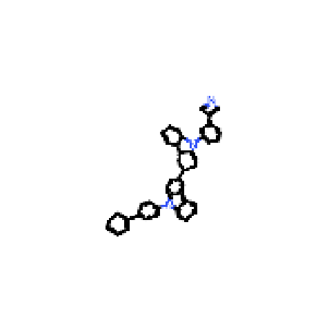 C1=CCCC(c2ccc(-n3c4ccccc4c4cc(C5CC=C6C(C5)C5C=CC=CC5N6c5cccc(C6=CN=C6)c5)ccc43)cc2)=C1